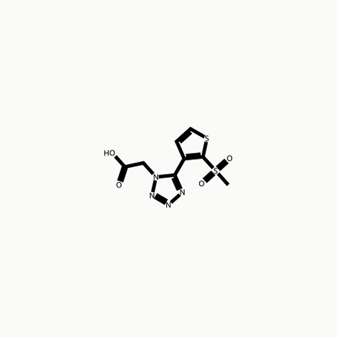 CS(=O)(=O)c1sccc1-c1nnnn1CC(=O)O